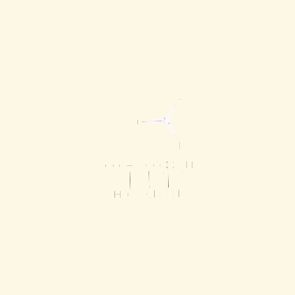 CC(=O)O.CC(=O)O.CC(=O)O.CCN(CC)CC